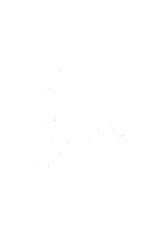 O=C(NCCN1CCN(c2ccc(F)cc2)CC1)N(Cc1ccc(-c2nnc(C(F)F)o2)cc1F)c1ccccc1